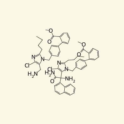 CCCCc1nc(Cl)c(C(N)(C(N)=O)c2cccc3ccccc23)n1Cc1ccc(-c2ccccc2C(=O)OC)cc1.CCCCc1nc(Cl)c(CN)n1Cc1ccc(-c2ccccc2C(=O)OC)cc1